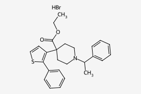 Br.CCOC(=O)C1(c2ccsc2-c2ccccc2)CCN(C(C)c2ccccc2)CC1